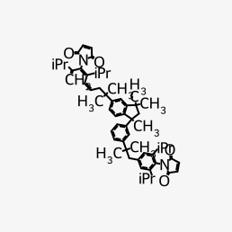 C=C(/C(=C(\C=C/CC(C)(C)c1ccc2c(c1)C(C)(C)CC2(C)c1cccc(C(C)(C)Cc2cc(C(C)C)c(N3C(=O)C=CC3=O)c(C(C)C)c2)c1)C(C)C)N1C(=O)C=CC1=O)C(C)C